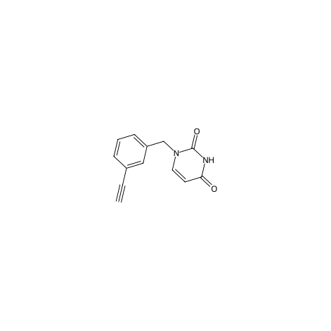 C#Cc1cccc(Cn2ccc(=O)[nH]c2=O)c1